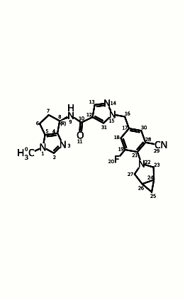 Cn1cnc2c1CC[C@H]2NC(=O)c1cnn(Cc2cc(F)c(N3CC4CC4C3)c(C#N)c2)c1